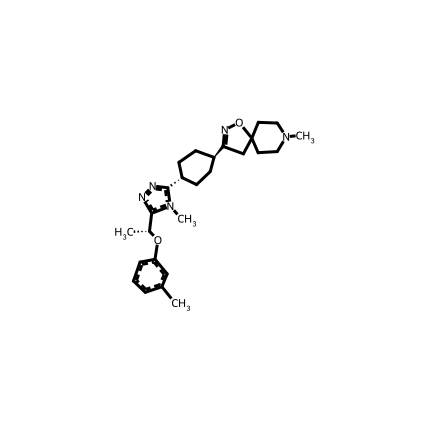 Cc1cccc(O[C@H](C)c2nnc([C@H]3CC[C@H](C4=NOC5(CCN(C)CC5)C4)CC3)n2C)c1